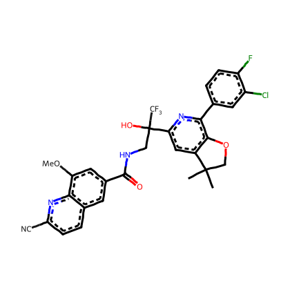 COc1cc(C(=O)NCC(O)(c2cc3c(c(-c4ccc(F)c(Cl)c4)n2)OCC3(C)C)C(F)(F)F)cc2ccc(C#N)nc12